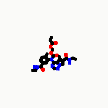 CCNC(=O)c1ccc(C)c(N(C(=O)OCOC(=O)CC)c2ncnn3cc(C(=O)NCC)c(C)c23)c1